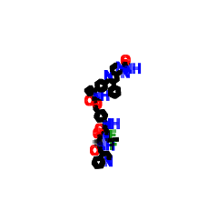 C[C@@H](NC(=O)c1ccnc2ccccc12)C(=O)N(CC(=O)Nc1ccc(COC(=O)NC2(c3ccc(-c4nc5ccn6c(=O)[nH]nc6c5cc4-c4ccccc4)cc3)CCC2)cc1)CC(C)(F)F